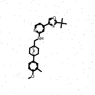 COc1ccc(C23CCC(CNc4cc(-c5coc(C(C)(C)C)n5)ccn4)(CC2)CC3)cc1C